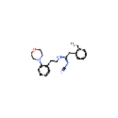 Cc1ccccc1CC(=NC#N)NCCc1ccccc1N1CCOCC1